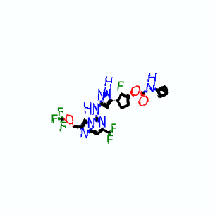 O=C(NC12CC(C1)C2)O[C@@H]1CC[C@H](c2cc(Nc3nc(C(F)F)cc4nc(COC(F)(F)F)cn34)n[nH]2)[C@H]1F